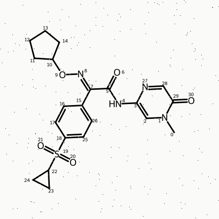 Cn1cc(NC(=O)/C(=N/OC2CCCC2)c2ccc(S(=O)(=O)C3CC3)cc2)ncc1=O